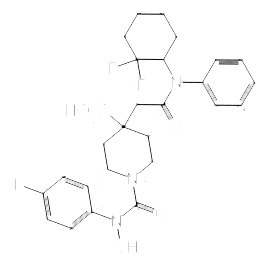 CN(C(=O)N1CCC(CC(=O)N(c2ccccc2)C2CCCCC2(F)F)(C(=O)O)CC1)c1ccc(F)cc1